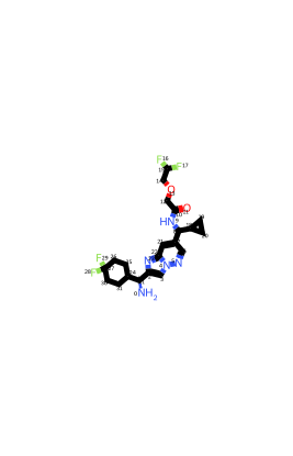 N[C@H](c1cn2ncc(C(NC(=O)COCC(F)F)C3CC3)cc2n1)C1CCC(F)(F)CC1